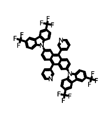 FC(F)(F)c1ccc2c(c1)c1cc(C(F)(F)F)ccc1n2-c1ccc2c(-c3cccnc3)c3cc(-n4c5ccc(C(F)(F)F)cc5c5cc(C(F)(F)F)ccc54)ccc3c(-c3cccnc3)c2c1